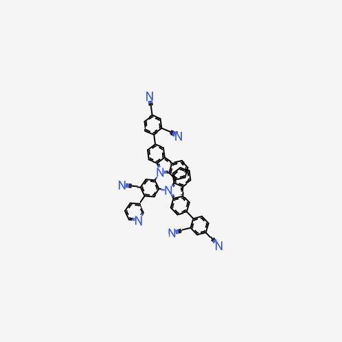 N#Cc1ccc(-c2ccc3c(c2)c2ccccc2n3-c2cc(C#N)c(-c3cccnc3)cc2-n2c3ccccc3c3cc(-c4ccc(C#N)cc4C#N)ccc32)c(C#N)c1